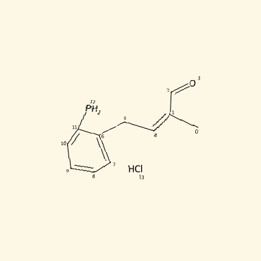 CC(C=O)=CCc1ccccc1P.Cl